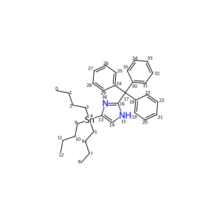 CCC[CH2][Sn]([CH2]CCC)([CH2]CCC)[c]1c[nH]c(C(c2ccccc2)(c2ccccc2)c2ccccc2)n1